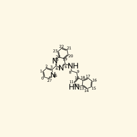 c1ccc(-c2nc(NCCc3c[nH]c4ccccc34)c3ccccc3n2)nc1